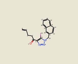 C=CCCC(=O)c1nnn(Cc2ccc3ccccc3c2)c1I